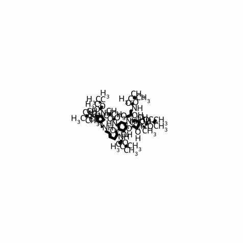 CN(C(=O)OC(C)(C)C)[C@@H]1[C@@H](O)[C@@H](O[C@H]2[C@H](NC(=O)[C@@H](O)CNC(=O)OC(C)(C)C)C[C@H](NC(=O)OC(C)(C)C)C([C@H]3OC(CNC[C@@H]4C[C@H](O[Si](C)(C)C(C)(C)C)[C@H](NC(=O)OC(C)(C)C)C4)=CC[C@H]3NC(=O)OC(C)(C)C)[C@@H]2O)OC[C@]1(C)O